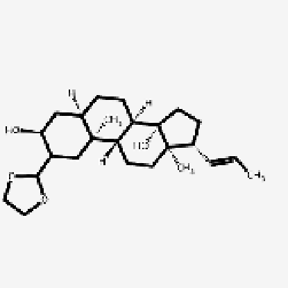 CC=C[C@H]1CC[C@]2(O)[C@@H]3CC[C@@H]4C[C@H](O)C(C5OCCO5)C[C@]4(C)[C@H]3CC[C@]12C